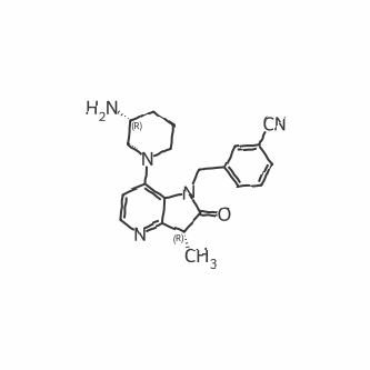 C[C@H]1C(=O)N(Cc2cccc(C#N)c2)c2c(N3CCC[C@@H](N)C3)ccnc21